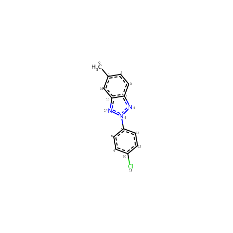 Cc1ccc2nn(-c3ccc(Cl)cc3)nc2c1